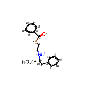 O=C(SCCN[C@@H](Cc1ccccc1)C(=O)O)c1ccccc1